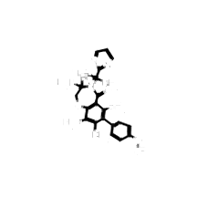 Bc1c(B)c(-c2ccc(OC(F)(F)F)cc2)c(B)c2c1OCC(B)(B)N(C(B)(B)c1ncccn1)C2=O